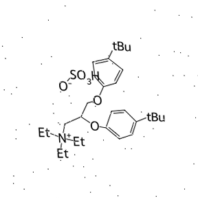 CC[N+](CC)(CC)CC(COc1ccc(C(C)(C)C)cc1)Oc1ccc(C(C)(C)C)cc1.O=S(=O)([O-])O